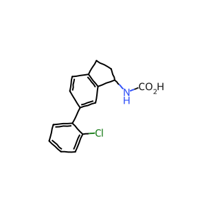 O=C(O)NC1CCc2ccc(-c3ccccc3Cl)cc21